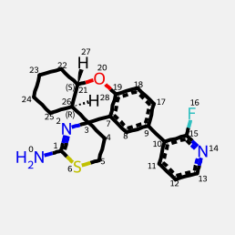 NC1=NC2(CCS1)c1cc(-c3cccnc3F)ccc1O[C@H]1CCCC[C@@H]12